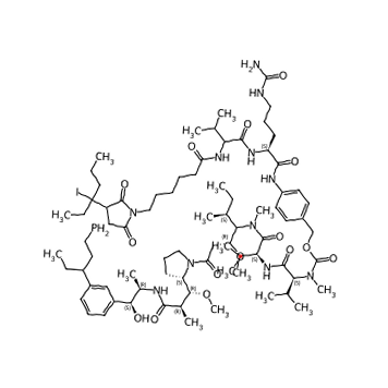 CCCC(I)(CC)C1CC(=O)N(CCCCCC(=O)NC(C(=O)N[C@@H](CCCNC(N)=O)C(=O)Nc2ccc(COC(=O)N(C)[C@H](C(=O)N[C@H](C(=O)N(C)C([C@@H](C)CC)[C@@H](CC(=O)N3CCC[C@H]3[C@H](OC)[C@@H](C)C(=O)N[C@H](C)[C@@H](O)c3cccc(C(CC)CCP)c3)OC)C(C)C)C(C)C)cc2)C(C)C)C1=O